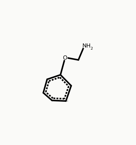 NCOc1c[c]ccc1